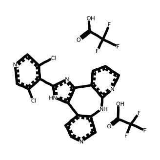 Clc1cncc(Cl)c1-c1nc2c([nH]1)-c1ccncc1Nc1ncccc1-2.O=C(O)C(F)(F)F.O=C(O)C(F)(F)F